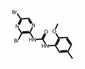 COc1ccc(C)cc1NC(=O)Nc1ncc(Br)nc1Br